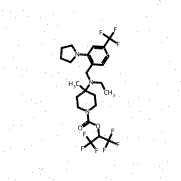 CCN(Cc1ccc(C(F)(F)F)cc1N1CCCC1)C1(C)CCN(C(=O)OC(C(F)(F)F)C(F)(F)F)CC1